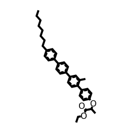 CCCCCCCCc1ccc(-c2ccc(-c3ccc(-c4ccc(OC(C)C(=O)OCC)cc4)c(C)c3)cc2)cc1